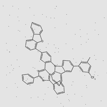 Cc1cc(-c2ccc3c(c2)c2ccccc2n3-c2ccc(-c3cccc4c3oc3ccccc34)cc2-c2nc(-c3ccccc3)nc(-c3ccccc3)n2)cc(C(F)(F)F)c1